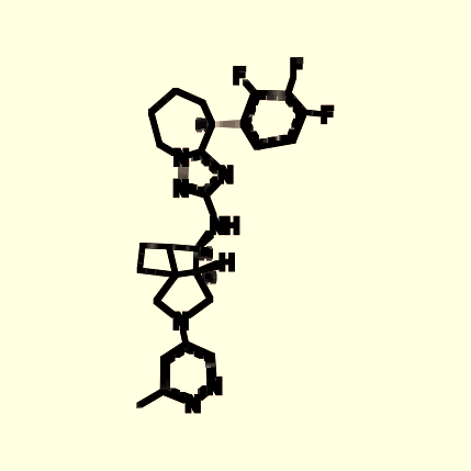 Cc1cc(N2C[C@H]3[C@H](Nc4nc5n(n4)CCCC[C@@H]5c4ccc(F)c(F)c4F)C4CCC43C2)cnn1